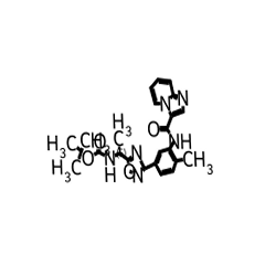 Cc1ccc(-c2noc([C@H](C)NC(=O)OC(C)(C)C)n2)cc1NC(=O)c1cnc2ccccn12